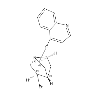 CC[C@H]1C[N@]2CC[C@H]1C[C@@H]2Cc1ccnc2ccccc12